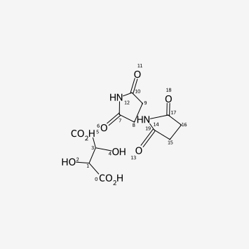 O=C(O)C(O)C(O)C(=O)O.O=C1CCC(=O)N1.O=C1CCC(=O)N1